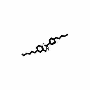 CCCCCCC1CCc2nc(-c3ccc(CCCCC)cc3)ncc2C1